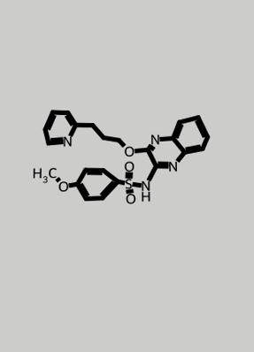 COc1ccc(S(=O)(=O)Nc2nc3ccccc3nc2OCCCc2ccccn2)cc1